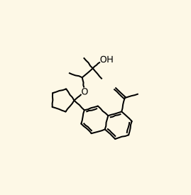 C=C(C)c1cccc2ccc(C3(OC(C)C(C)(C)O)CCCC3)cc12